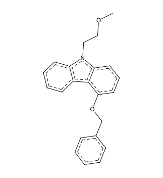 COCCn1c2ccccc2c2c(OCc3ccccc3)cccc21